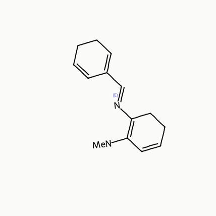 CNC1=C(/N=C/C2=CCCC=C2)CCC=C1